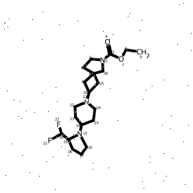 CCOC(=O)N1CCC2(CC(N3CCC(N4CCCC4C(F)F)CC3)C2)C1